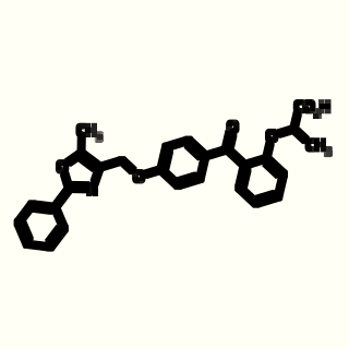 Cc1oc(-c2ccccc2)nc1COc1ccc(C(=O)c2ccccc2OC(C)C(=O)O)cc1